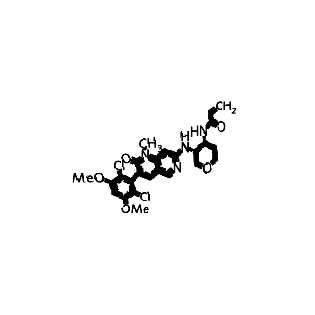 C=CC(=O)N[C@H]1CCOC[C@H]1Nc1cc2c(cn1)cc(-c1c(Cl)c(OC)cc(OC)c1Cl)c(=O)n2C